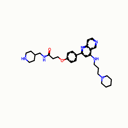 O=C(CCOc1ccc(-c2cc(NCCCN3CCCCC3)c3cnccc3n2)cc1)NCC1CCNCC1